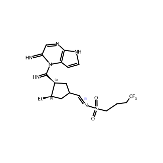 CC[C@@H]1CC(/C=N/S(=O)(=O)CCCC(F)(F)F)C[C@@H]1C(=N)n1c(=N)cnc2[nH]ccc21